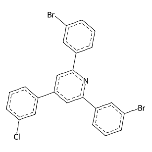 Clc1cccc(-c2cc(-c3cccc(Br)c3)nc(-c3cccc(Br)c3)c2)c1